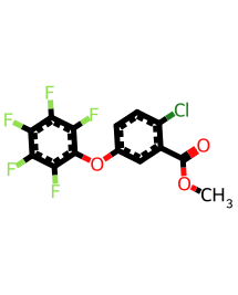 COC(=O)c1cc(Oc2c(F)c(F)c(F)c(F)c2F)ccc1Cl